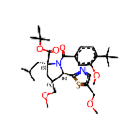 COCc1cnc([C@H]2[C@@H](COC)C[C@@](CC(C)C)(C(=O)OC(C)(C)C)N2C(=O)c2ccc(C(C)(C)C)c(OC)c2)s1